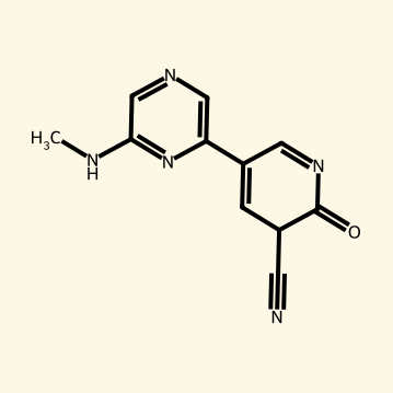 CNc1cncc(C2=CC(C#N)C(=O)N=C2)n1